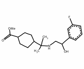 COC(=O)C1CCC(C(C)(C)NCC(O)c2cccc(F)c2)CC1